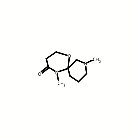 CN1CCCC2(C1)OCCC(=O)N2C